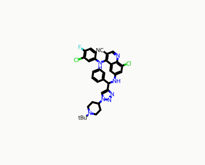 CC(C)(C)N1CCC(n2cc(C(Nc3cc(Cl)c4ncc(C#N)c(Nc5ccc(F)c(Cl)c5)c4c3)c3ccccc3)nn2)CC1